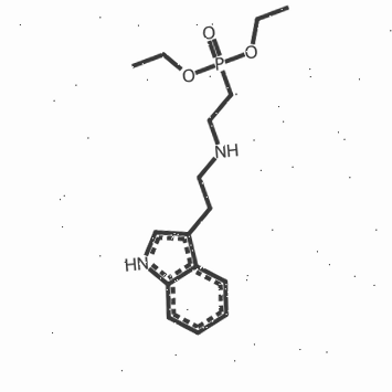 CCOP(=O)([CH]CNCCc1c[nH]c2ccccc12)OCC